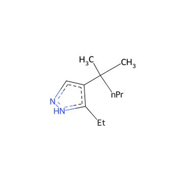 CCCC(C)(C)c1cn[nH]c1CC